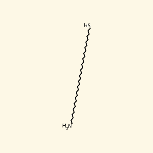 NCCCCCCCCCCCCCCCCCCCCCCCCCCCCCCCCCCCS